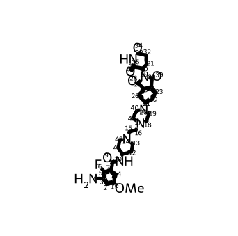 COc1cc(N)c(F)c(C(=O)NC2CCN(CCN3CCN(c4ccc5c(c4)C(=O)N(C4CCC(=O)NC4=O)C5=O)CC3)CC2)c1